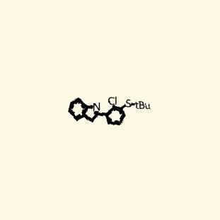 CC(C)(C)Sc1cccc(C2=Nc3ccccc3C2)c1Cl